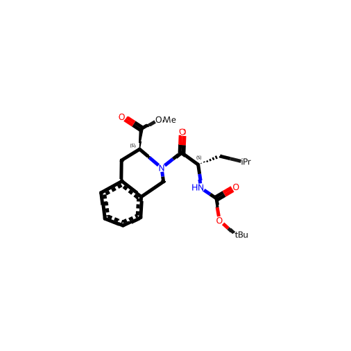 COC(=O)[C@@H]1Cc2ccccc2CN1C(=O)[C@H](CC(C)C)NC(=O)OC(C)(C)C